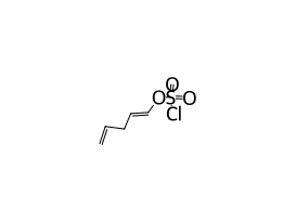 C=CCC=COS(=O)(=O)Cl